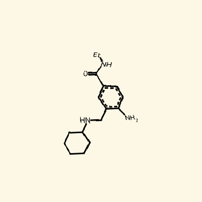 CCNC(=O)c1ccc(N)c(CNC2CCCCC2)c1